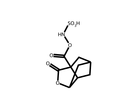 O=C(ONS(=O)(=O)O)C12CC3CC(OC1=O)C2C3